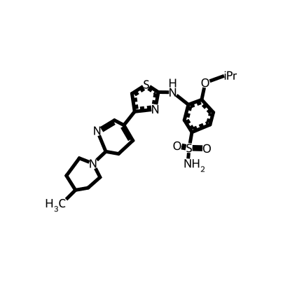 CC1CCN(C2CC=C(c3csc(Nc4cc(S(N)(=O)=O)ccc4OC(C)C)n3)C=N2)CC1